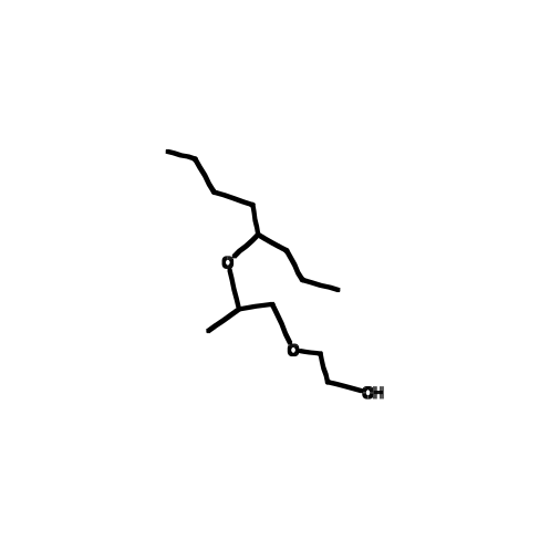 CCCCC(CCC)OC(C)COCCO